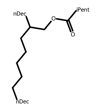 CCCCCCCCCCCCCCCC(CCCCCCCCCC)COC(=O)C(C)CCC